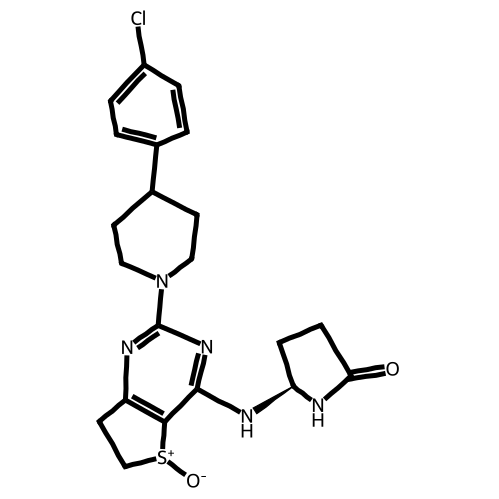 O=C1CC[C@H](Nc2nc(N3CCC(c4ccc(Cl)cc4)CC3)nc3c2[S+]([O-])CC3)N1